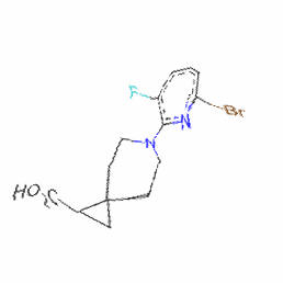 O=C(O)C1CC12CCN(c1nc(Br)ccc1F)CC2